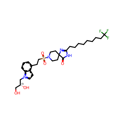 O=C1NC(CCCCCCCCC(F)(F)F)=NC12CCN(S(=O)(=O)CCc1cccc3c1ccn3C[C@H](O)CO)CC2